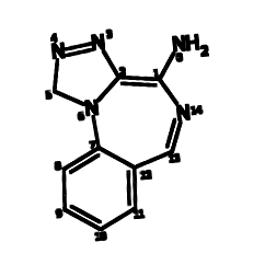 NC1=C2N=NCN2c2ccccc2C=N1